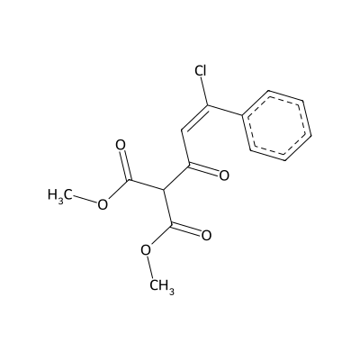 COC(=O)C(C(=O)/C=C(/Cl)c1ccccc1)C(=O)OC